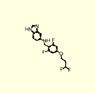 Fc1cc(OCCC(F)F)cc(F)c1CNc1ccc2[nH]cnc2c1